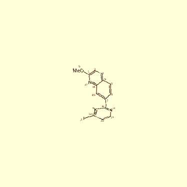 COc1ccc2ccc(-c3cc(I)ccn3)cc2n1